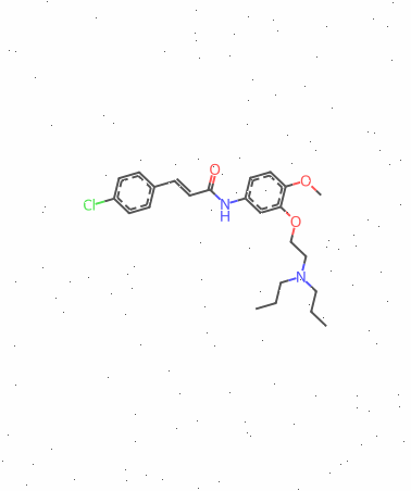 CCCN(CCC)CCOc1cc(NC(=O)C=Cc2ccc(Cl)cc2)ccc1OC